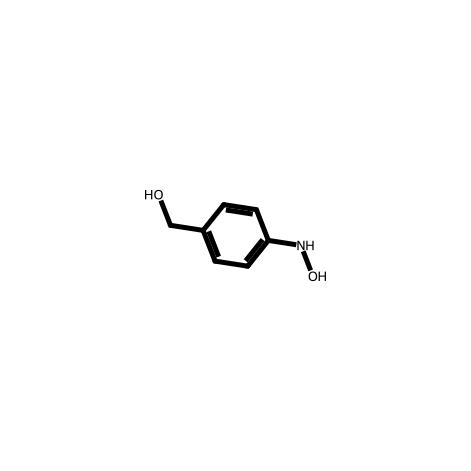 OCc1ccc(NO)cc1